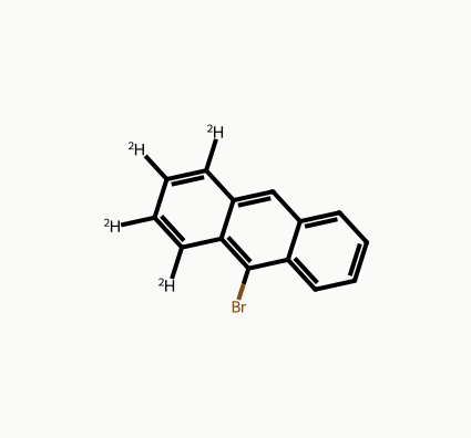 [2H]c1c([2H])c([2H])c2c(Br)c3ccccc3cc2c1[2H]